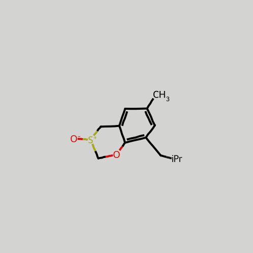 Cc1cc(CC(C)C)c2c(c1)C[S+]([O-])CO2